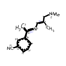 CNC/C(C)=C/N=C(\C)c1cccc(C#N)c1